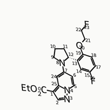 CCOC(=O)c1cnn2ccc(N3CCC[C@@H]3c3cc(F)ccc3OCCF)cc12